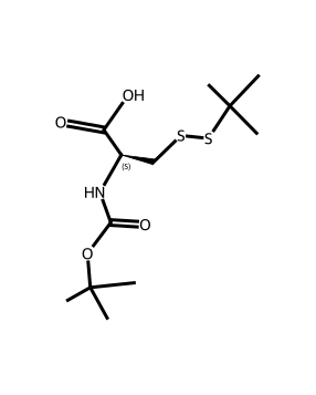 CC(C)(C)OC(=O)N[C@H](CSSC(C)(C)C)C(=O)O